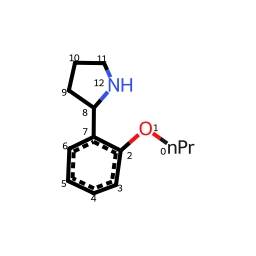 CCCOc1ccccc1C1CCCN1